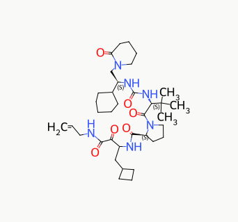 C=CCNC(=O)C(=O)C(CC1CCC1)NC(=O)[C@@H]1CCCN1C(=O)[C@@H](NC(=O)N[C@H](CN1CCCCC1=O)C1CCCCC1)C(C)(C)C